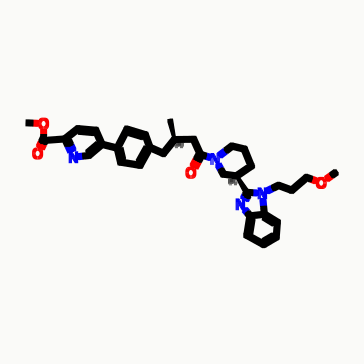 COCCCn1c([C@@H]2CCCN(C(=O)C[C@H](C)Cc3ccc(-c4ccc(C(=O)OC)nc4)cc3)C2)nc2ccccc21